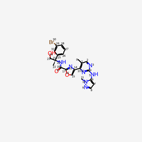 Cc1cnc(Nc2ccnn2C)nc1-c1coc(C(=O)N[C@](C)(CO)c2cccc(Br)c2)n1